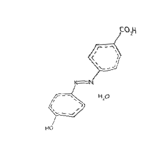 O.O=C(O)c1ccc(N=Nc2ccc(O)cc2)cc1